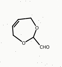 O=CC1OCC=CCO1